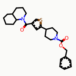 O=C(OCc1ccccc1)N1CCC(c2cc(C(=O)N3CCCC4CCCCC43)cs2)CC1